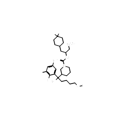 CCOCCCCC(O)(c1cc(F)cc(F)c1F)C1CCCN(C(=O)NC(CNC)CC2CCC(F)(F)CC2)C1